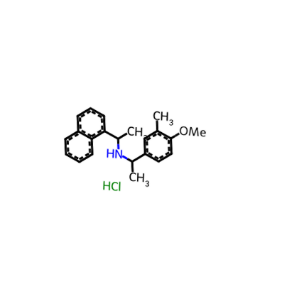 COc1ccc(C(C)NC(C)c2cccc3ccccc23)cc1C.Cl